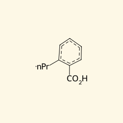 CC[CH]c1ccccc1C(=O)O